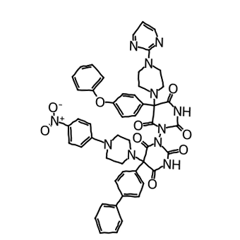 O=C1NC(=O)C(c2ccc(-c3ccccc3)cc2)(N2CCN(c3ccc([N+](=O)[O-])cc3)CC2)C(=O)N1N1C(=O)NC(=O)C(c2ccc(Oc3ccccc3)cc2)(N2CCN(c3ncccn3)CC2)C1=O